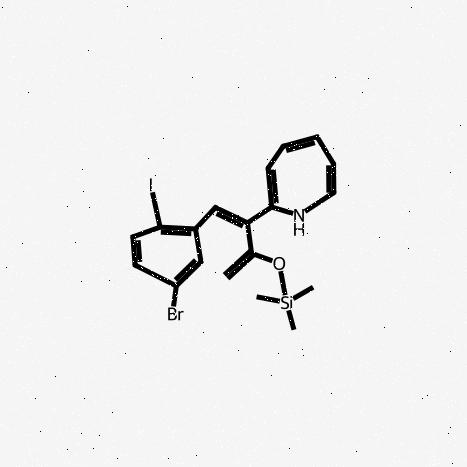 C=C(O[Si](C)(C)C)C(=Cc1cc(Br)ccc1I)C1=CC=CC=CN1